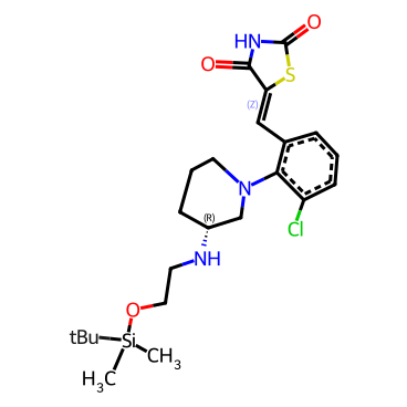 CC(C)(C)[Si](C)(C)OCCN[C@@H]1CCCN(c2c(Cl)cccc2/C=C2\SC(=O)NC2=O)C1